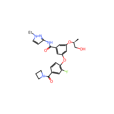 CCn1ccc(NC(=O)c2cc(Oc3ccc(C(=O)N4CCC4)cc3F)cc(O[C@@H](C)CO)c2)n1